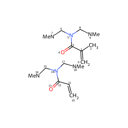 C=C(C)C(=O)N(CNC)CNC.C=CC(=O)N(CNC)CNC